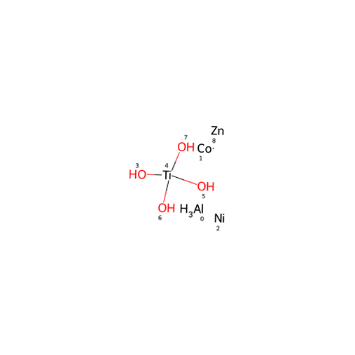 [AlH3].[Co].[Ni].[OH][Ti]([OH])([OH])[OH].[Zn]